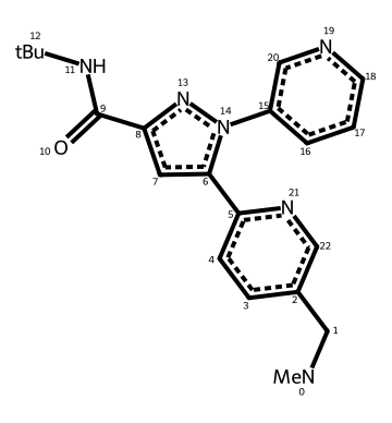 CNCc1ccc(-c2cc(C(=O)NC(C)(C)C)nn2-c2cccnc2)nc1